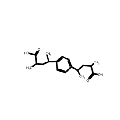 CC(CC(C)c1ccc(C(C)CC(C)C(=O)O)cc1)C(=O)O